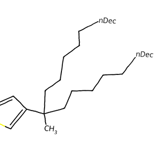 CCCCCCCCCCCCCCCC(C)(CCCCCCCCCCCCCCC)c1ccsc1